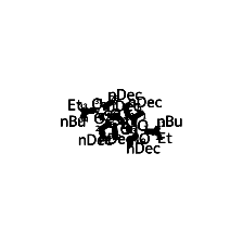 CCCCCCCCCCC[CH2][Sn]([CH2]CCCCCCCCCCC)([O]C(=O)C(CC)CCCC)[O][Sn]([CH2]CCCCCCCCCCC)([CH2]CCCCCCCCCCC)[O][Sn]([CH2]CCCCCCCCCCC)([CH2]CCCCCCCCCCC)[O]C(=O)C(CC)CCCC